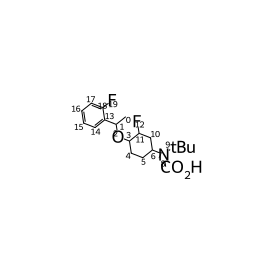 CC(OC1CCC(N(C(=O)O)C(C)(C)C)CC1F)c1ccccc1F